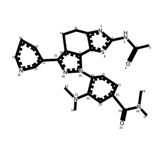 CC(=O)Nc1nc2c(s1)-c1c(c(-c3cccnc3)nn1-c1ccc(C(=O)N(C)C)cc1N(C)C)CC2